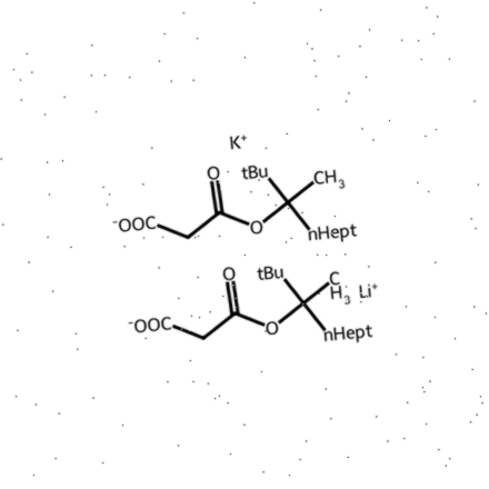 CCCCCCCC(C)(OC(=O)CC(=O)[O-])C(C)(C)C.CCCCCCCC(C)(OC(=O)CC(=O)[O-])C(C)(C)C.[K+].[Li+]